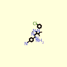 Cc1c(C)n(-c2cccc(Cl)c2)c2ncnc(C(=NN)c3ccc(C#N)cc3)c12